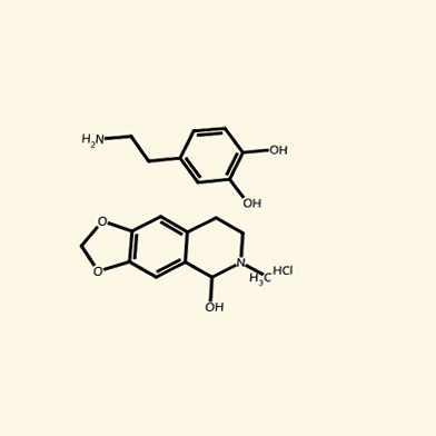 CN1CCc2cc3c(cc2C1O)OCO3.Cl.NCCc1ccc(O)c(O)c1